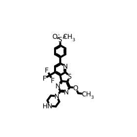 CCOc1nc(N2CCNCC2)nc2c1sc1nc(-c3ccc([S+](C)[O-])cc3)cc(C(F)(F)F)c12